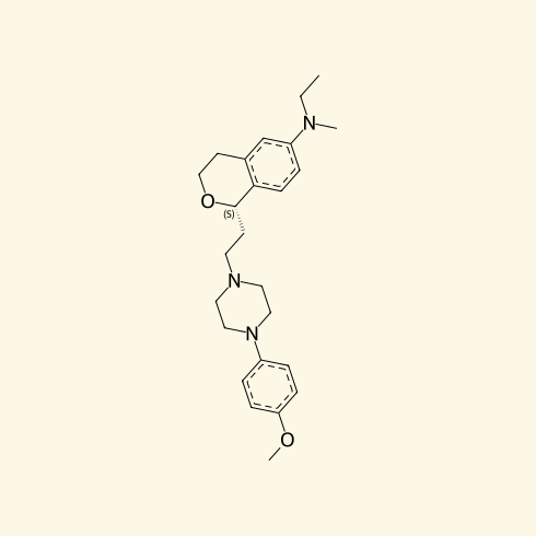 CCN(C)c1ccc2c(c1)CCO[C@H]2CCN1CCN(c2ccc(OC)cc2)CC1